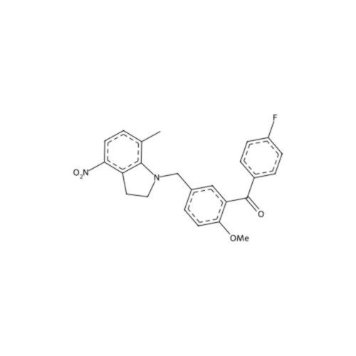 COc1ccc(CN2CCc3c([N+](=O)[O-])ccc(C)c32)cc1C(=O)c1ccc(F)cc1